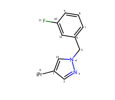 CC(C)c1cnn(Cc2cccc(F)c2)c1